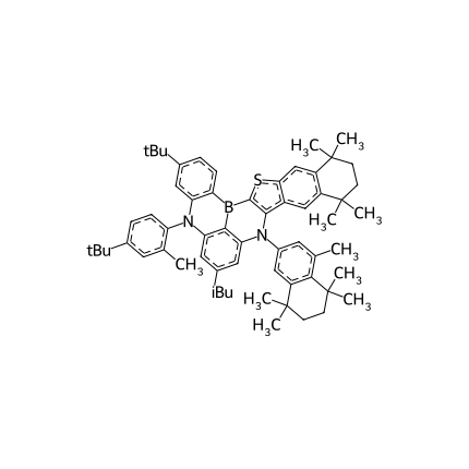 CCC(C)c1cc2c3c(c1)N(c1cc(C)c4c(c1)C(C)(C)CCC4(C)C)c1c(sc4cc5c(cc14)C(C)(C)CCC5(C)C)B3c1ccc(C(C)(C)C)cc1N2c1ccc(C(C)(C)C)cc1C